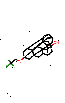 OC12CC3C4CC56CC7(OCC(F)(F)F)CC8C9CC(C1)(C3C85)C(C4C2)C6C9C7